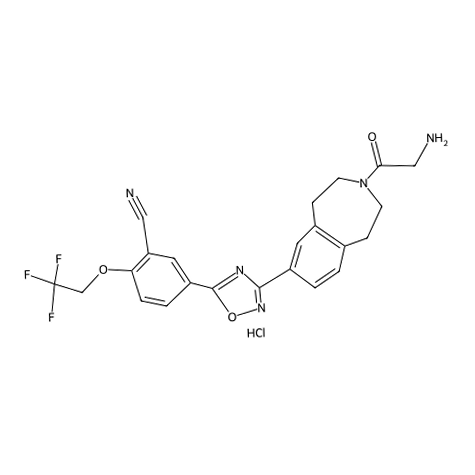 Cl.N#Cc1cc(-c2nc(-c3ccc4c(c3)CCN(C(=O)CN)CC4)no2)ccc1OCC(F)(F)F